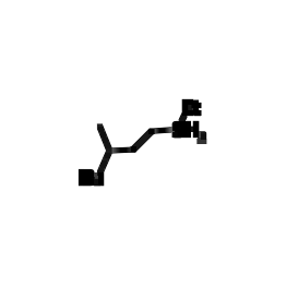 CC[SiH2]CCC(C)C(C)CC